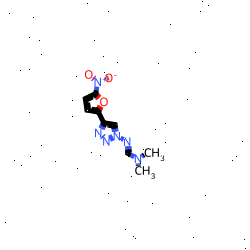 CN(C)C=Nn1cc(-c2ccc([N+](=O)[O-])o2)nn1